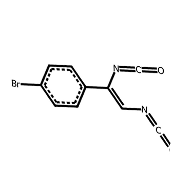 O=C=NC=C(N=C=O)c1ccc(Br)cc1